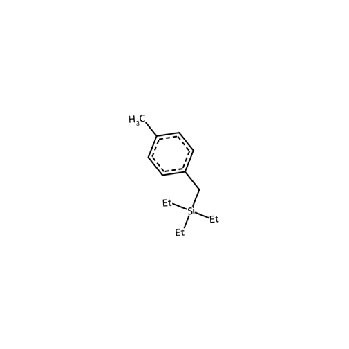 CC[Si](CC)(CC)Cc1ccc(C)cc1